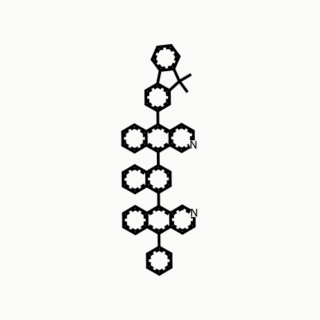 CC1(C)c2ccccc2-c2ccc(-c3c4ccccc4c(-c4ccc(-c5c6ccccc6c(-c6ccccc6)c6ccncc56)c5ccccc45)c4cnccc34)cc21